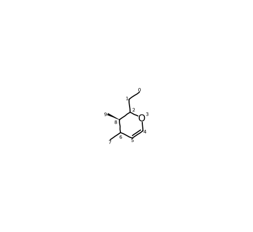 CCC1OC=CC(C)[C@H]1C